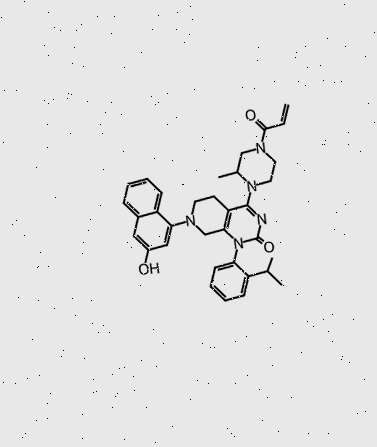 C=CC(=O)N1CCN(c2nc(=O)n(-c3ccccc3C(C)C)c3c2CCN(c2cc(O)cc4ccccc24)C3)C(C)C1